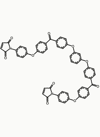 O=C(c1ccc(Oc2ccc(N3C(=O)C=CC3=O)cc2)cc1)c1ccc(Oc2cccc(Oc3ccc(C(=O)c4ccc(Oc5ccc(N6C(=O)C=CC6=O)cc5)cc4)cc3)c2)cc1